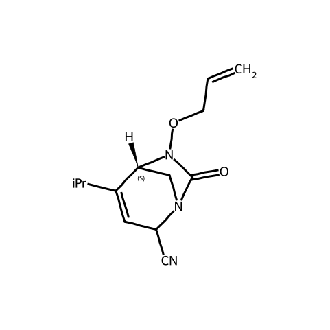 C=CCON1C(=O)N2C[C@@H]1C(C(C)C)=CC2C#N